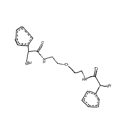 CC(C)C(C(=O)NCCOCCNC(=O)C(c1ccccc1)C(C)(C)C)c1ccccc1